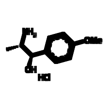 COc1ccc([C@@H](O)[C@H](C)N)cc1.Cl